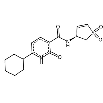 O=C(N[C@H]1C=CS(=O)(=O)C1)c1ccc(C2CCCCC2)[nH]c1=O